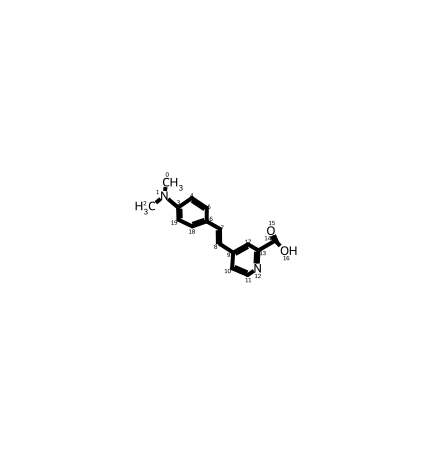 CN(C)c1ccc(C=Cc2ccnc(C(=O)O)c2)cc1